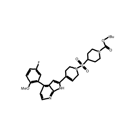 COc1ccc(F)cc1-c1ccnc2[nH]c(C3=CCN(S(=O)(=O)C4CCN(C(=O)OC(C)(C)C)CC4)CC3)cc12